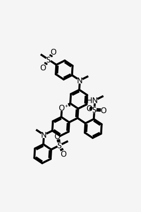 CNS(=O)(=O)c1ccccc1-c1c2ccc(N(C)c3ccc(S(C)(=O)=O)cc3)cc2[o+]c2cc(N(C)c3ccccc3S(C)(=O)=O)ccc12